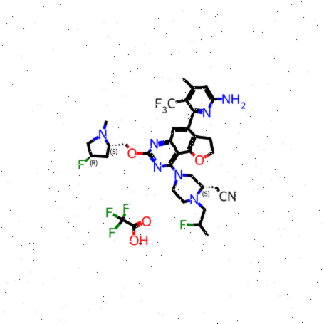 Cc1cc(N)nc(-c2cc3nc(OC[C@@H]4C[C@@H](F)CN4C)nc(N4CCN(CC(C)F)[C@@H](CC#N)C4)c3c3c2CCO3)c1C(F)(F)F.O=C(O)C(F)(F)F